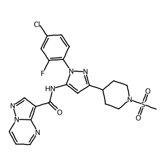 CS(=O)(=O)N1CCC(c2cc(NC(=O)c3cnn4cccnc34)n(-c3ccc(Cl)cc3F)n2)CC1